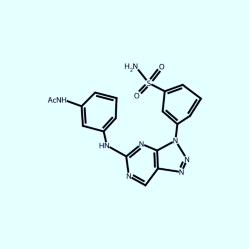 CC(=O)Nc1cccc(Nc2ncc3nnn(-c4cccc(S(N)(=O)=O)c4)c3n2)c1